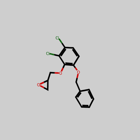 Clc1ccc(OCc2ccccc2)c(OCC2CO2)c1Cl